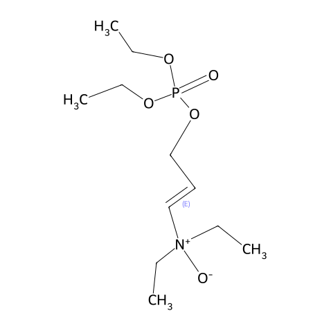 CCOP(=O)(OCC)OC/C=C/[N+]([O-])(CC)CC